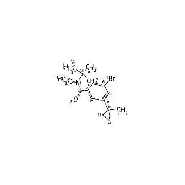 CN(C(=O)c1cc(Br)cc(C2(C)CC2)c1)C(C)(C)C